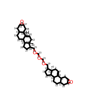 C[C@]12CC=C3C4CC5OC5CC4CCC3C1CCC2COCOCOCC1CCC2C3CCC4CC5OC5C[C@H]4C3=CC[C@]12C